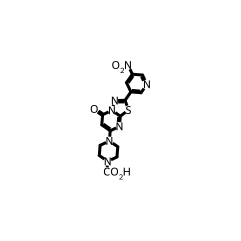 O=C(O)N1CCN(c2cc(=O)n3nc(-c4cncc([N+](=O)[O-])c4)sc3n2)CC1